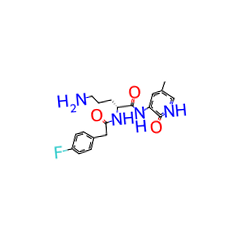 Cc1c[nH]c(=O)c(NC(=O)[C@@H](CCCN)NC(=O)Cc2ccc(F)cc2)c1